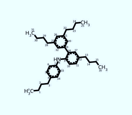 CCCCc1ccc(Nc2ccc(CCCC)cc2-c2cc(CCCC)cc(CCCC)c2)cc1